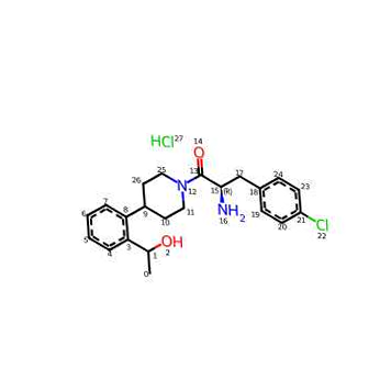 CC(O)c1ccccc1C1CCN(C(=O)[C@H](N)Cc2ccc(Cl)cc2)CC1.Cl